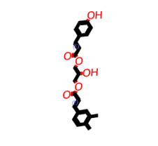 Cc1ccc(/C=C/C(=O)OCC(O)COC(=O)/C=C/c2ccc(O)cc2)cc1C